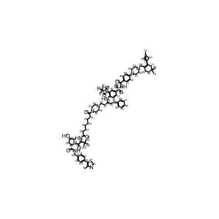 Cc1ncsc1-c1ccc(CNC(=O)[C@@H]2C[C@@H](O)CN2C(=O)[C@@H](NC(=O)CCCCCCC(=O)N2CCN(CC[C@H](CSc3ccccc3)Nc3ccc(S(=O)(=O)NC(=O)c4ccc(N5CCN(CC6=C(C78CC(C)(C7)C8)CC(C)(C)CC6)CC5)cc4)cc3S(=O)(=O)C(F)(F)F)CC2)C(C)(C)C)cc1